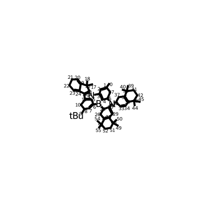 CC1=CC2=C3B(C4=CC(C(C)(C)C)Cc5c6c(n2c54)C(C)(C)C2=CCCC=C26)C2CC4=C(C=C2N(C2C=CC5=C(C2)C(C)(C)CCC5(C)C)C3C1)C(C)(C)CCC4(C)C